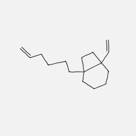 C=CCCCCC12CCCCC1(C=C)CC2